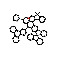 CC1(C)c2ccccc2-c2c(-c3cc4c(cc3N(c3cccc(-c5ccccc5)c3)c3ccc5c6ccccc6c6ccccc6c5c3)C3(c5ccccc5-c5ccccc53)c3ccccc3-4)cccc21